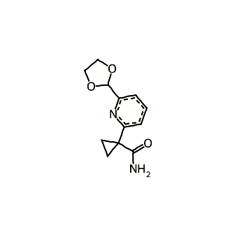 NC(=O)C1(c2cccc(C3OCCO3)n2)CC1